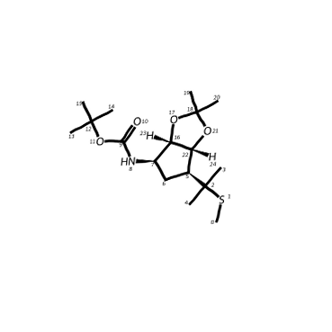 CSC(C)(C)[C@H]1C[C@@H](NC(=O)OC(C)(C)C)[C@@H]2OC(C)(C)O[C@@H]21